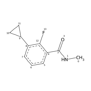 CNC(=O)c1cccc(C2CC2)c1F